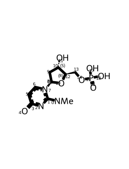 CNc1nc(=O)ccn1[C@H]1C[C@H](O)[C@@H](COP(=O)(O)O)O1